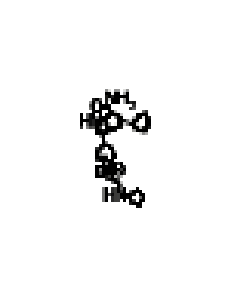 NC(=O)c1cc(-c2ccccc2)cc2c(C3CCN(S(=O)(=O)CCNC4CCCC4)CC3)c[nH]c12